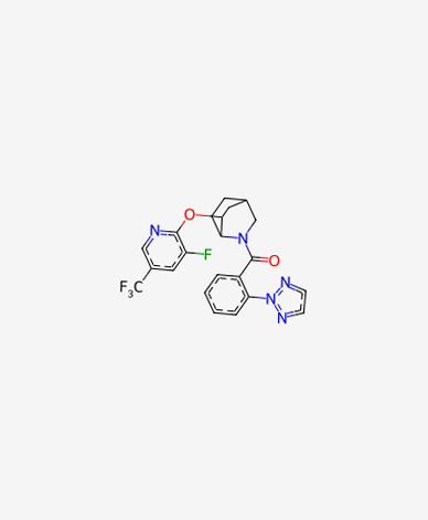 O=C(c1ccccc1-n1nccn1)N1CC2CCC1C(Oc1ncc(C(F)(F)F)cc1F)C2